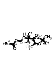 CCC(C)(OC(C)C(=O)C(C)(CC)OCOC(=O)C(C)(C)C)C(C)=O